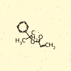 [CH2]C(C)(OC(=O)C=C)c1ccccc1